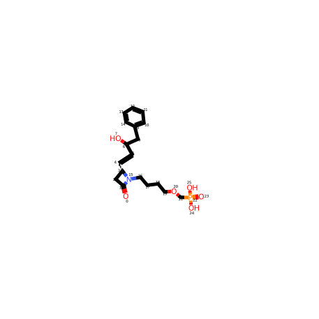 O=C1C[C@H](/C=C/C(O)Cc2ccccc2)N1CCCCOCP(=O)(O)O